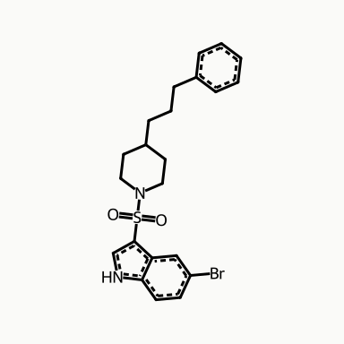 O=S(=O)(c1c[nH]c2ccc(Br)cc12)N1CCC(CCCc2ccccc2)CC1